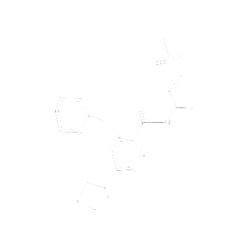 CC(/C=C/S(C)(=O)=O)NC(=O)c1cnc(C2CCCC2)nc1Oc1ccccn1